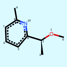 CO[C@@H](C)c1cccc(C)n1